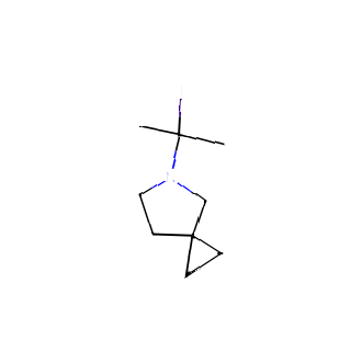 CC(C)(I)N1CCC2(CC2)C1